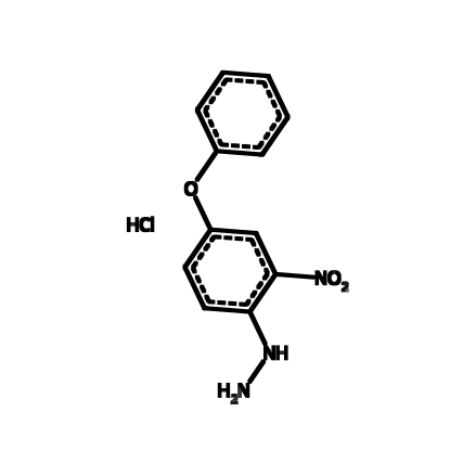 Cl.NNc1ccc(Oc2ccccc2)cc1[N+](=O)[O-]